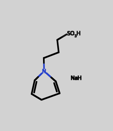 O=S(=O)(O)CCCN1C=CCC=C1.[NaH]